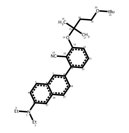 CCN(CC)c1ccc2cc(-c3cccc(OC(C)(C)CCOC(C)(C)C)c3C#N)ccc2c1